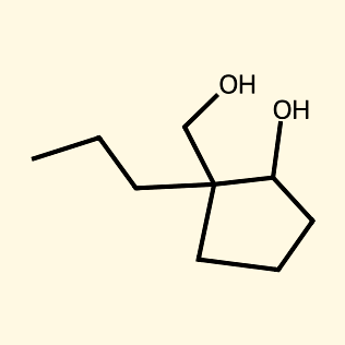 CCCC1(CO)CCCC1O